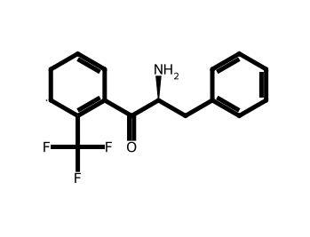 N[C@@H](Cc1ccccc1)C(=O)C1=C(C(F)(F)F)[CH]CC=C1